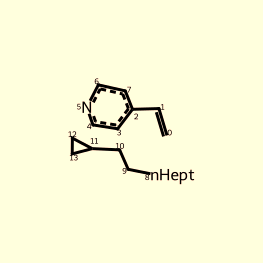 C=Cc1ccncc1.CCCCCCCCCC1CC1